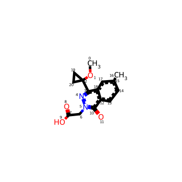 COC1(c2nn(CC(=O)O)c(=O)c3ccc(C)cc23)CC1